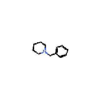 [c]1cccc(CN2CCCCC2)c1